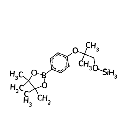 CC(C)(CO[SiH3])Oc1ccc(B2OC(C)(C)C(C)(C)O2)cc1